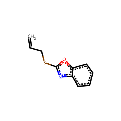 C=C[CH]Sc1nc2ccccc2o1